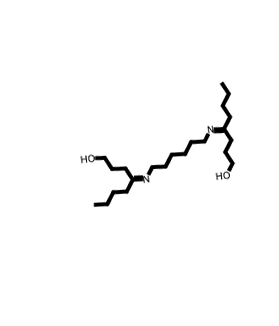 CCCCC(CCCO)=NCCCCCCN=C(CCCC)CCCO